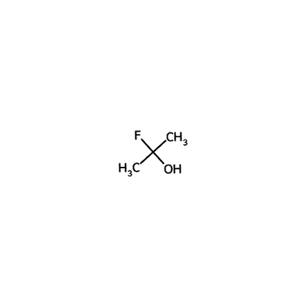 CC(C)(O)F